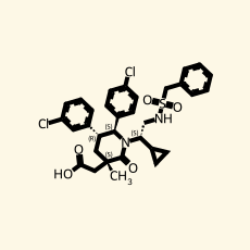 C[C@@]1(CC(=O)O)C[C@H](c2cccc(Cl)c2)[C@@H](c2ccc(Cl)cc2)N([C@H](CNS(=O)(=O)Cc2ccccc2)C2CC2)C1=O